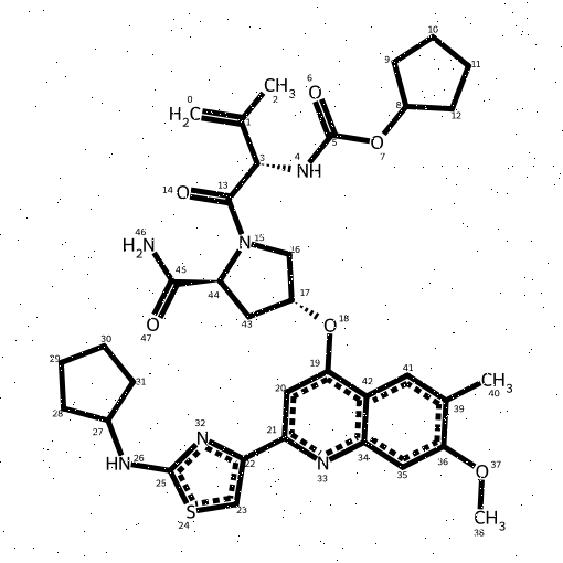 C=C(C)[C@H](NC(=O)OC1CCCC1)C(=O)N1C[C@H](Oc2cc(-c3csc(NC4CCCC4)n3)nc3cc(OC)c(C)cc23)C[C@H]1C(N)=O